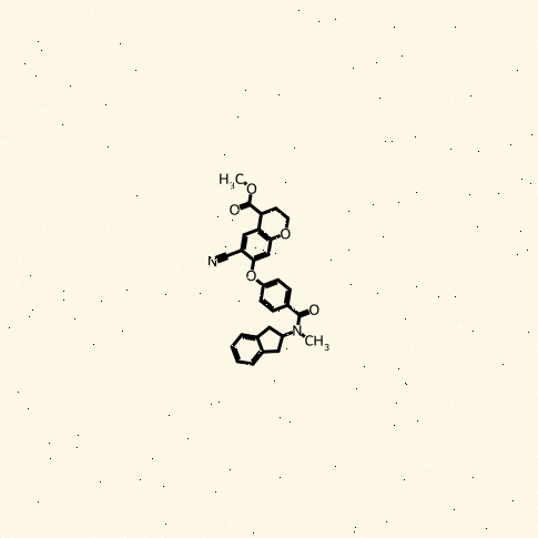 COC(=O)C1CCOc2cc(Oc3ccc(C(=O)N(C)C4Cc5ccccc5C4)cc3)c(C#N)cc21